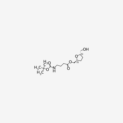 CC(C)(C)OC(=O)NCCCC(=O)OC[C@@H]1CC[C@@H](CO)O1